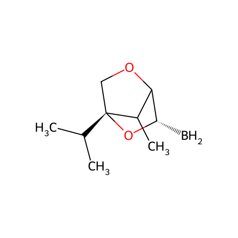 B[C@@H]1O[C@]2(C(C)C)COC1C2C